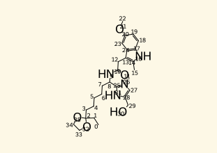 CCC1(CCCCCC(NC(=O)Cc2c(C)[nH]c3ccc(OC)cc23)c2ncc(CO)[nH]2)OCCO1